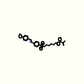 C=C(C)C(=O)OCCCCCCS(=O)(=O)c1ccc(/C=C/c2ccc(OC)cc2)cc1